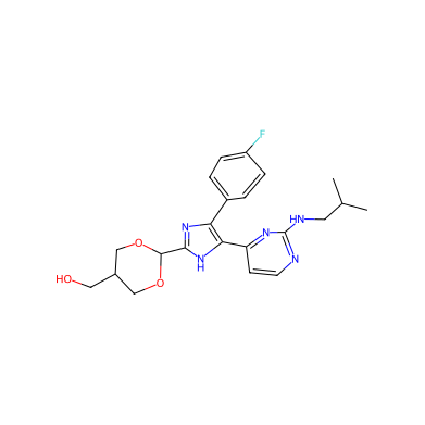 CC(C)CNc1nccc(-c2[nH]c(C3OCC(CO)CO3)nc2-c2ccc(F)cc2)n1